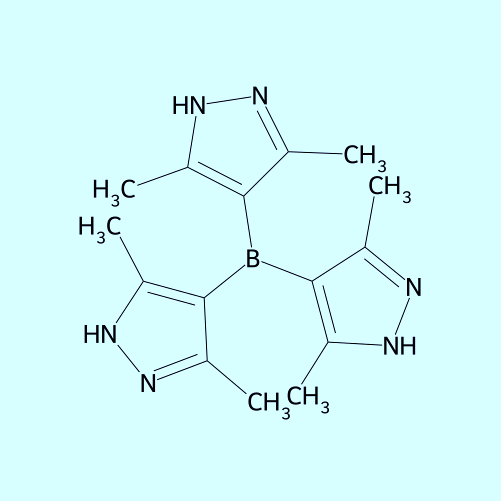 Cc1n[nH]c(C)c1B(c1c(C)n[nH]c1C)c1c(C)n[nH]c1C